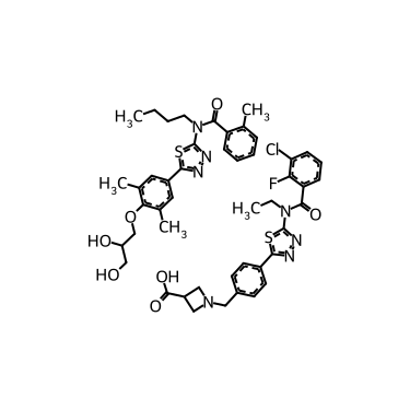 CCCCN(C(=O)c1ccccc1C)c1nnc(-c2cc(C)c(OCC(O)CO)c(C)c2)s1.CCN(C(=O)c1cccc(Cl)c1F)c1nnc(-c2ccc(CN3CC(C(=O)O)C3)cc2)s1